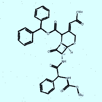 COC(=O)C=C1CS[C@H]2[C@H](NC(=O)C(NC(=O)OC(C)(C)C)c3ccccc3)C(=O)N2C1C(=O)OC(c1ccccc1)c1ccccc1